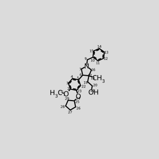 COc1ccc(C2CN(Cc3ccccc3)CC2(C)CCO)cc1OC1CCCC1